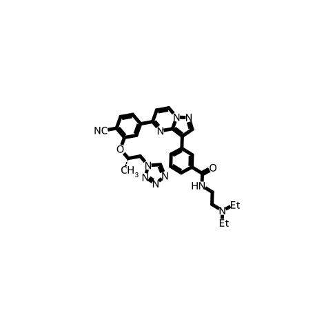 CCN(CC)CCNC(=O)c1cccc(-c2cnn3ccc(-c4ccc(C#N)c(O[C@@H](C)Cn5cnnn5)c4)nc23)c1